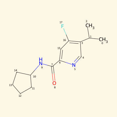 CC(C)c1cnc(C(=O)NC2CCCC2)cc1F